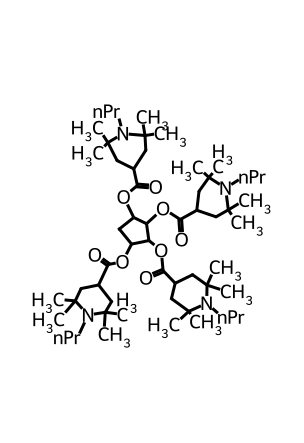 CCCN1C(C)(C)CC(C(=O)OC2CC(OC(=O)C3CC(C)(C)N(CCC)C(C)(C)C3)C(OC(=O)C3CC(C)(C)N(CCC)C(C)(C)C3)C2OC(=O)C2CC(C)(C)N(CCC)C(C)(C)C2)CC1(C)C